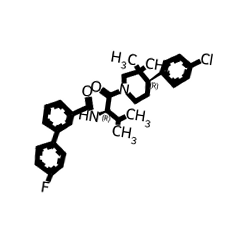 CC(C)[C@@H](NC(=O)c1cccc(-c2ccc(F)cc2)c1)C(=O)N1CC[C@H](c2ccc(Cl)cc2)C(C)(C)C1